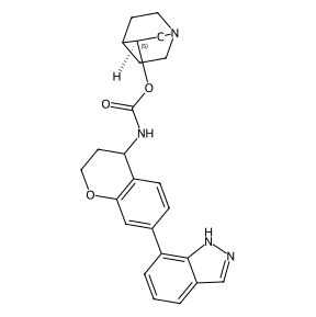 O=C(NC1CCOc2cc(-c3cccc4cn[nH]c34)ccc21)O[C@@H]1CN2CCC1CC2